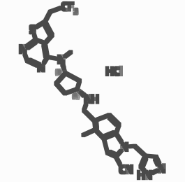 Cc1c(CN[C@H]2CC[C@@H](N(C)c3ncnc4sc(CC(F)(F)F)cc34)C2)ccc2c1cc(C#N)n2Cc1cn[nH]c1.Cl